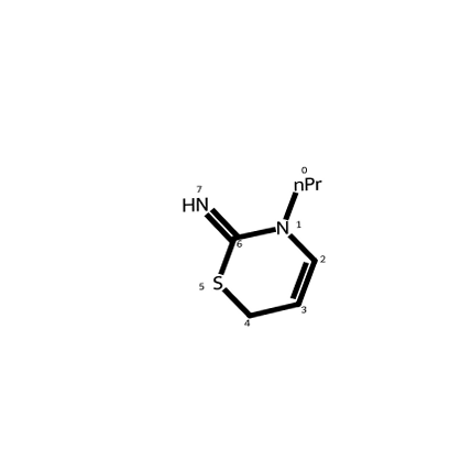 CCCN1C=CCSC1=N